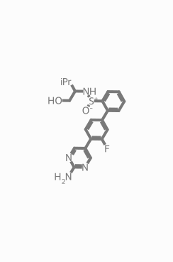 CC(C)C(CO)N[S+]([O-])c1ccccc1-c1ccc(-c2cnc(N)nc2)c(F)c1